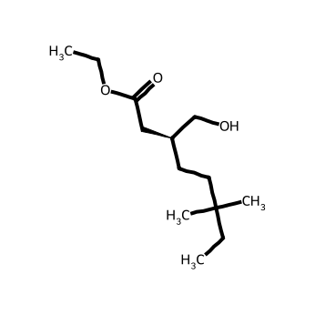 CCOC(=O)C[C@@H](CO)CCC(C)(C)CC